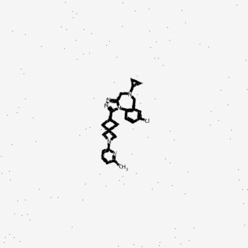 Cc1cccc(N2CC3(CC(c4nnc5n4-c4ccc(Cl)cc4CN(C4CC4)C5)C3)C2)n1